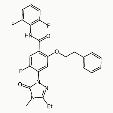 CCc1nn(-c2cc(OCCc3ccccc3)c(C(=O)Nc3c(F)cccc3F)cc2F)c(=O)n1C